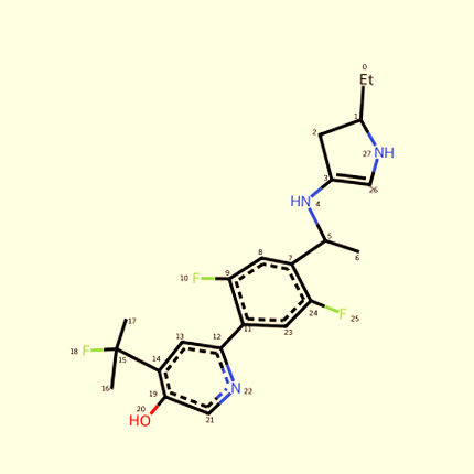 CCC1CC(NC(C)c2cc(F)c(-c3cc(C(C)(C)F)c(O)cn3)cc2F)=CN1